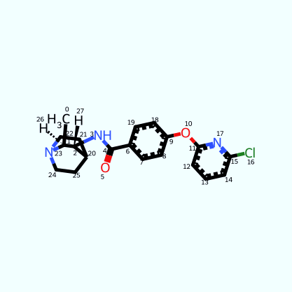 C[C@H]1[C@H](NC(=O)c2ccc(Oc3cccc(Cl)n3)cc2)C2CCN1CC2